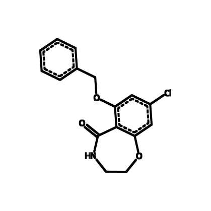 O=C1NCCOc2cc(Cl)cc(OCc3ccccc3)c21